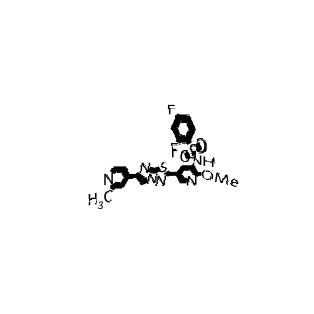 COc1ncc(-c2nn3cc(-c4ccnc(C)c4)nc3s2)cc1NS(=O)(=O)c1ccc(F)cc1F